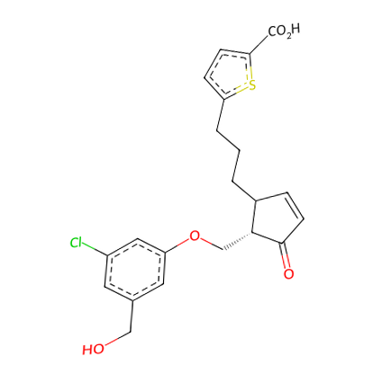 O=C(O)c1ccc(CCCC2C=CC(=O)[C@@H]2COc2cc(Cl)cc(CO)c2)s1